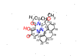 COCCC1N(C(C)C)C(=O)c2c(O)c(=O)ccn2N1C1c2ccccc2CCc2ccccc21